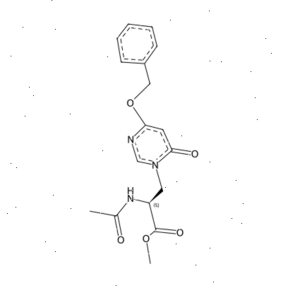 COC(=O)[C@H](Cn1cnc(OCc2ccccc2)cc1=O)NC(C)=O